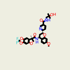 COc1ccc2c(c1)O[C@@H](c1ccc(C(=O)NCC(C)(C)O)cn1)C[C@H]2NC(=O)[C@@]1(C)COc2cc3c(cc21)OC(F)(F)O3